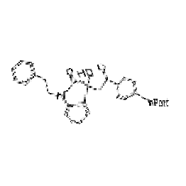 CCCCCc1ccc(C(=O)CC2(O)C(=O)N(CCc3ccccc3)c3ccccc32)cc1